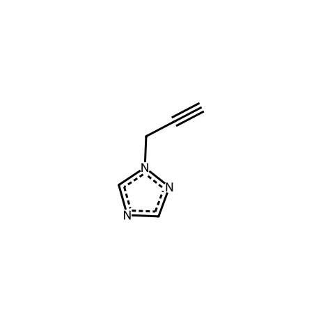 C#CCn1cncn1